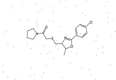 CC1OC(c2ccc(Cl)cc2)=NC1CSCC(=O)N1CCCC1